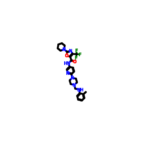 Cc1ccccc1NCN1CCN(c2ccc(NC(=O)c3oc(N4CCCCC4)nc3C(F)(F)F)cn2)CC1